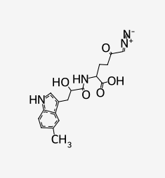 Cc1ccc2[nH]cc(CC(O)C(=O)NC(CCC(=O)C=[N+]=[N-])C(=O)O)c2c1